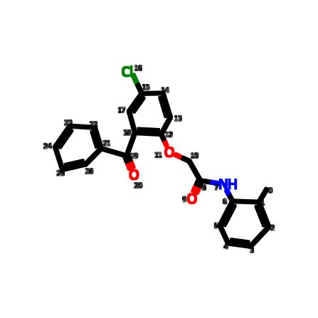 Cc1ccccc1NC(=O)COc1ccc(Cl)cc1C(=O)c1ccccc1